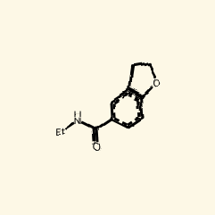 CCNC(=O)c1ccc2c(c1)CCO2